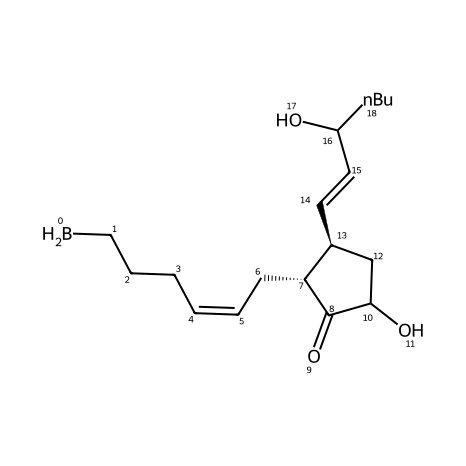 BCCC/C=C\C[C@H]1C(=O)C(O)C[C@@H]1/C=C/C(O)CCCC